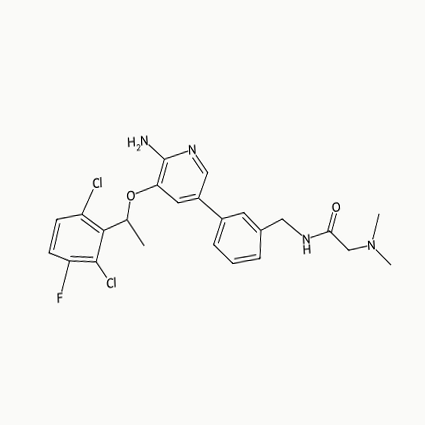 CC(Oc1cc(-c2cccc(CNC(=O)CN(C)C)c2)cnc1N)c1c(Cl)ccc(F)c1Cl